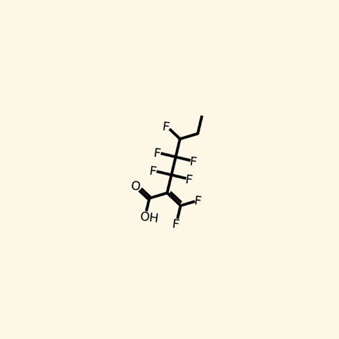 CCC(F)C(F)(F)C(F)(F)C(C(=O)O)=C(F)F